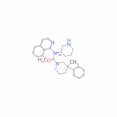 Cc1cccc2ccnc(N(C(=O)N3CCCC(C)(c4ccccc4)C3)[C@@H]3CCCNC3)c12